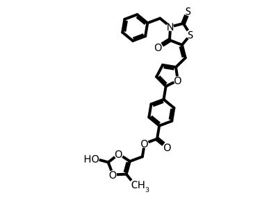 CC1=C(COC(=O)c2ccc(-c3ccc(/C=C4/SC(=S)N(Cc5ccccc5)C4=O)o3)cc2)OC(O)O1